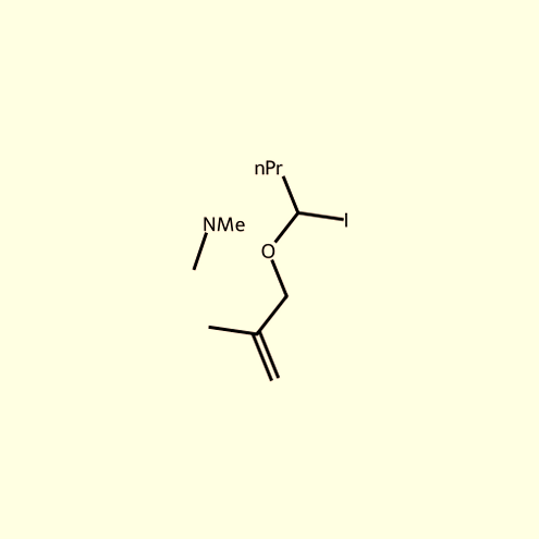 C=C(C)COC(I)CCC.CNC